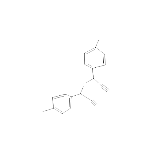 C#CC(OC(C#C)c1ccc(Cl)cc1)c1ccc(Cl)cc1